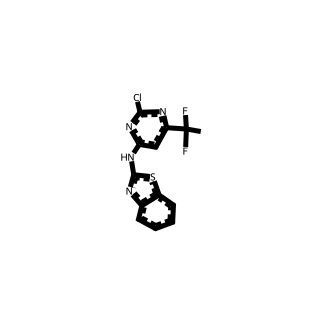 CC(F)(F)c1cc(Nc2nc3ccccc3s2)nc(Cl)n1